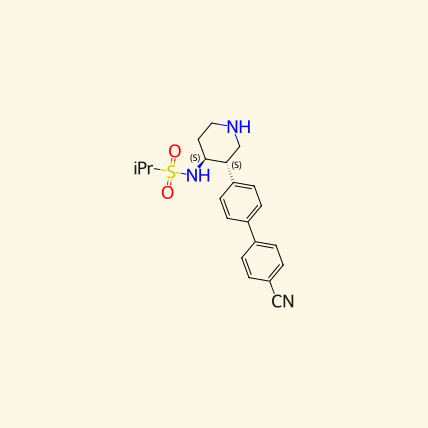 CC(C)S(=O)(=O)N[C@H]1CCNC[C@@H]1c1ccc(-c2ccc(C#N)cc2)cc1